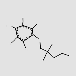 CCCC(C)(C)CSc1c(Cl)c(Cl)c(O)c(Cl)c1Cl